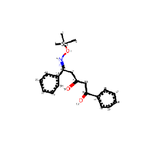 C[Si](C)(C)O/N=C(\CC(=O)CC(=O)c1ccccc1)c1ccccc1